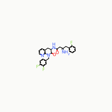 N[C@@H](CC(=O)NC1Cc2cccnc2N(Cc2ccc(F)c(F)c2)C1=O)Cc1ccccc1F